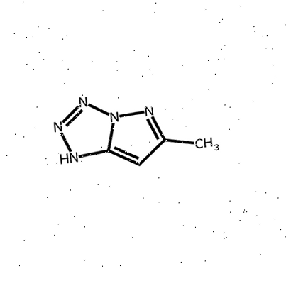 Cc1cc2[nH]nnn2n1